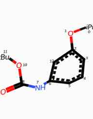 CC(C)Oc1cccc(NC(=O)OC(C)(C)C)c1